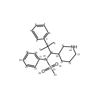 CC(C)(c1ccccc1)C(C1CCCNC1)N(c1ccccc1)S(C)(=O)=O